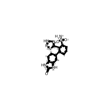 NS(=O)(=O)c1cccc(-c2ccc3[nH]c(=O)[nH]c3c2)c1-c1nn[nH]n1